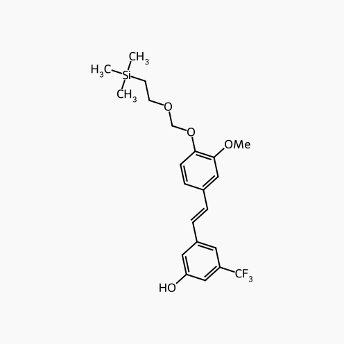 COc1cc(C=Cc2cc(O)cc(C(F)(F)F)c2)ccc1OCOCC[Si](C)(C)C